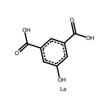 O=C(O)c1cc(O)cc(C(=O)O)c1.[La]